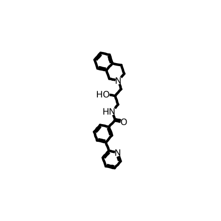 O=C(NCC(O)CN1CCc2ccccc2C1)c1cccc(-c2ccccn2)c1